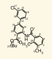 Cc1cccc(C(=O)Nc2cc(-c3cccc(Cl)c3)ccc2C(=O)OC(C)(C)C)c1C